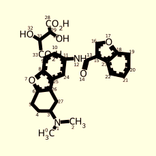 CN(C)C1CCc2oc3ccc(NC(=O)c4coc5ccccc45)cc3c2C1.O=C(O)C(O)C(O)C(=O)O